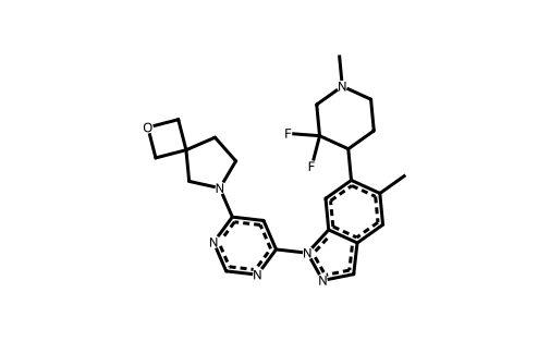 Cc1cc2cnn(-c3cc(N4CCC5(COC5)C4)ncn3)c2cc1C1CCN(C)CC1(F)F